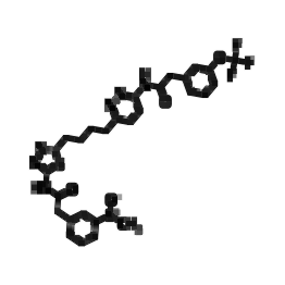 C[S+]([O-])c1cccc(CC(=O)Nc2nnc(CCCCc3ccc(NC(=O)Cc4cccc(OC(F)(F)F)c4)nn3)s2)c1